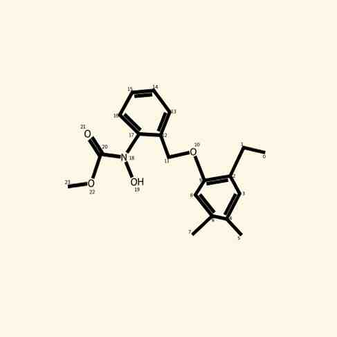 CCc1cc(C)c(C)cc1OCc1ccccc1N(O)C(=O)OC